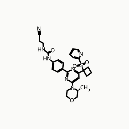 C[C@H]1COCCN1c1cc(C2(S(=O)(=O)c3ccccn3)CCC2)nc(-c2ccc(NC(=O)NCCC#N)cc2)n1